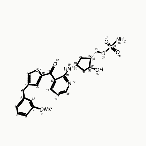 COc1cccc(Cc2csc(C(=O)c3cncnc3N[C@@H]3C[C@H](COS(N)(=O)=O)[C@@H](O)C3)c2)c1